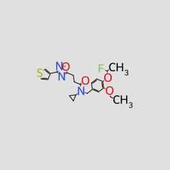 CCOc1cc(CN(C(=O)CCc2nc(-c3ccsc3)no2)C2CC2)ccc1OC(C)F